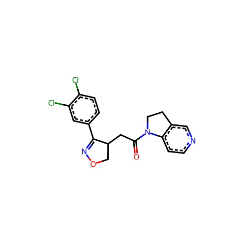 O=C(CC1CON=C1c1ccc(Cl)c(Cl)c1)N1CCc2cnccc21